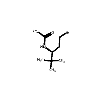 CC(C)(C)C(CCBr)NC(=O)O